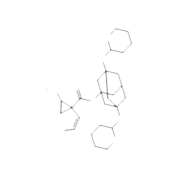 C/C=C\C1(C(=O)OC23CC4CC(OC5CCCCO5)(C2)CC(OC2CCCCO2)(C4)C3)CC1C